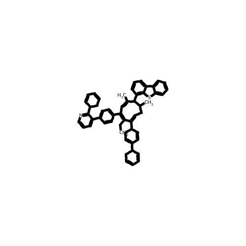 CCC1=C(c2ccc(-c3cccnc3C3C=CC=CC3)cc2)/C=C(/C)C(c2cccc3c2sc2ccccc23)C(C)C\C=C\1C1C=CC(C2C=CC=CC2)=CC1